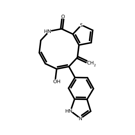 C=C1/C(c2ccc3cn[nH]c3c2)=C(O)\C=C/CNC(=O)c2sccc21